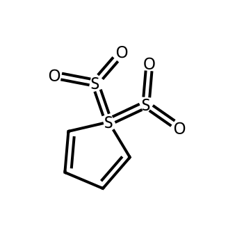 O=S(=O)=S1(=S(=O)=O)C=CC=C1